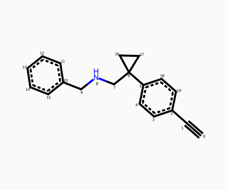 C#Cc1ccc(C2(CNCc3ccccc3)CC2)cc1